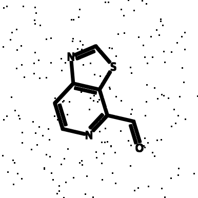 O=Cc1nccc2ncsc12